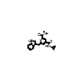 CNC(=O)c1cc(C(=O)N[C@H]2C[C@@H]2C)cc(Cc2c[nH]c3ccccc23)n1